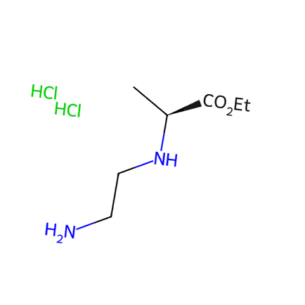 CCOC(=O)[C@H](C)NCCN.Cl.Cl